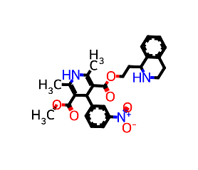 COC(=O)C1=C(C)NC(C)=C(C(=O)OCCC2NCCc3ccccc32)C1c1cccc([N+](=O)[O-])c1